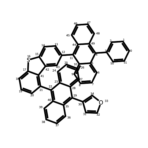 c1ccc(-c2c3ccccc3c(-c3ccc4sc5cccc(-c6c7ccccc7c(-c7ccoc7)c7ccccc67)c5c4c3)c3ccccc23)cc1